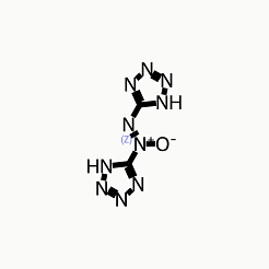 [O-]/[N+](=N\c1nnn[nH]1)c1nnn[nH]1